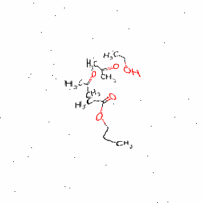 CC(C)=O.CC(C)=O.CCCOC(C)=O.CCO